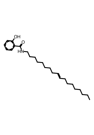 CCCCCCCCC=CCCCCCCCCNC(=O)c1ccccc1O